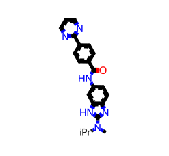 CC(C)N(C)c1nc2ccc(NC(=O)c3ccc(-c4ncccn4)cc3)cc2[nH]1